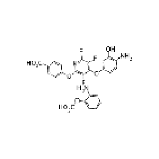 Nc1ccc(Oc2c(F)c(F)nc(Oc3ccc(C(=O)O)cc3)c2F)cc1O.Nc1ccccc1OC(=O)O